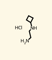 Cl.NCCNC1CCC1